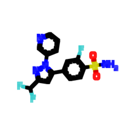 NS(=O)(=O)c1ccc(-c2cc(C(F)F)nn2-c2cccnc2)cc1F